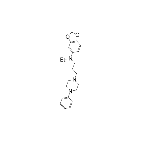 CCN(CCCN1CCN(c2ccccc2)CC1)c1ccc2c(c1)OCO2